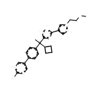 COCCn1cc(-c2nc(C(C)(c3ccc(-c4cnc(N)nc4)cc3)C3CCC3)no2)cn1